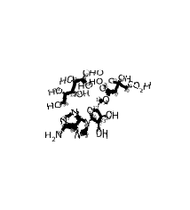 Nc1ncnc2c1ncn2[C@@H]1O[C@H](COC(=O)CC(O)(CC(=O)O)C(=O)O)[C@@H](O)[C@H]1O.O=C[C@H](O)[C@@H](O)[C@H](O)[C@H](O)CO